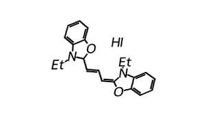 CCN1C(=CC=CC2Oc3ccccc3N2CC)Oc2ccccc21.I